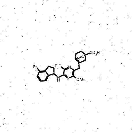 COc1nc(NC2CCc3c(Br)cccc32)c(C(F)(F)F)nc1CN1CC2(C(=O)O)CCC1CC2